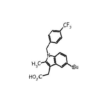 Cc1c(CC(=O)O)c2cc(C(C)(C)C)ccc2n1Cc1ccc(C(F)(F)F)cc1